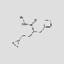 CC(C)NC(=O)C(CCC1CC1)CC1CCC1